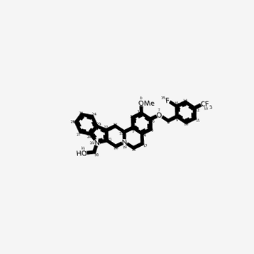 COc1cc2c(cc1OCc1ccc(C(F)(F)F)cc1F)CCN1Cc3c(c4ccccc4n3CO)CC21